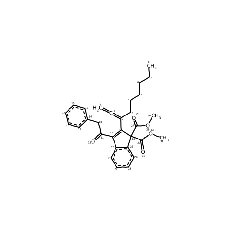 C=C=C(CCCCCC)C1=C(C(=O)Cc2ccccc2)c2ccccc2C1(C(=O)OC)C(=O)OC